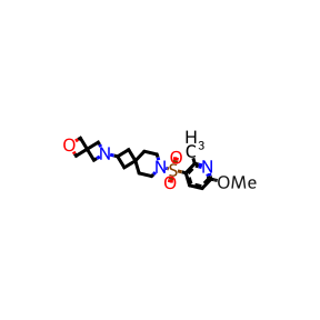 COc1ccc(S(=O)(=O)N2CCC3(CC2)CC(N2CC4(COC4)C2)C3)c(C)n1